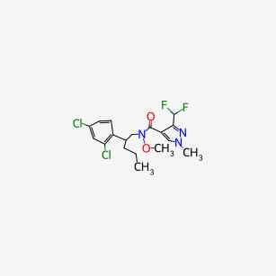 CCCC(CN(OC)C(=O)c1cn(C)nc1C(F)F)c1ccc(Cl)cc1Cl